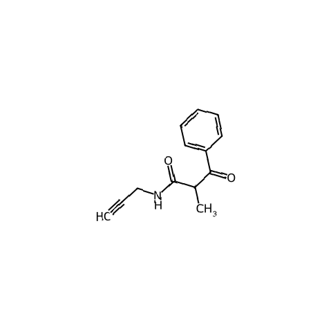 C#CCNC(=O)C(C)C(=O)c1ccccc1